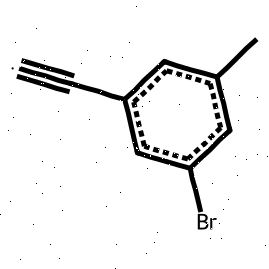 [C]#Cc1cc(C)cc(Br)c1